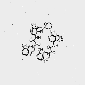 CCN(Cc1ccccc1C)C(=O)C(=O)Nc1cnc(N)c2cn(C3CCCCO3)nc12.CCN(Cc1ccccc1C)C(=O)C(=O)Nc1cnc(N)c2cn[nH]c12